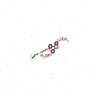 COCOc1ccc(C2COc3cc(OCOC)ccc3C2c2cccc(OCCCCCSCCCC(F)(F)C(F)(F)F)c2)cc1